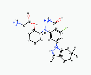 Cc1nn(-c2cc(F)c(C(N)=O)c(NC3CCCCC3OC(=O)CN)c2)c2c1CCC(C)(C)C2